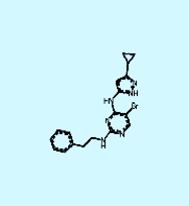 Brc1cnc(NCCc2ccccc2)nc1Nc1cc(C2CC2)n[nH]1